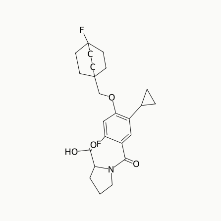 O=C(O)C1CCCN1C(=O)c1cc(C2CC2)c(OCC23CCC(F)(CC2)CC3)cc1F